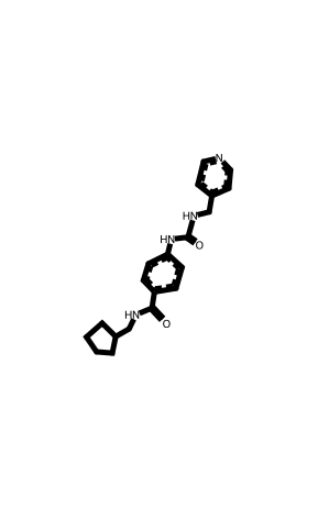 O=C(NCc1ccncc1)Nc1ccc(C(=O)NCC2CCCC2)cc1